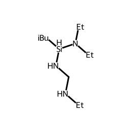 CCNCN[SiH](C(C)CC)N(CC)CC